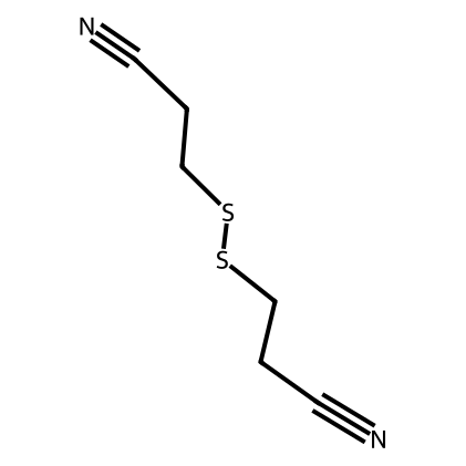 N#CCCSSCCC#N